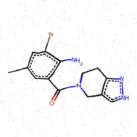 Cc1cc(Br)c(N)c(C(=O)N2CCc3n[nH]cc3C2)c1